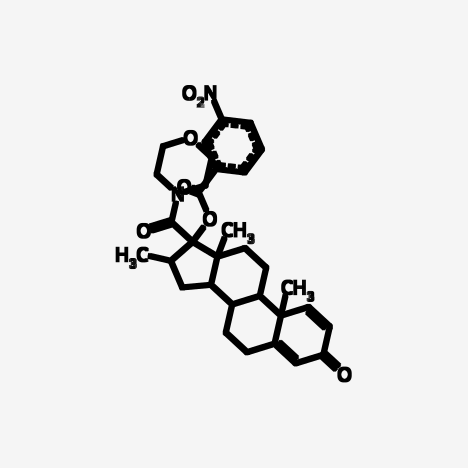 CC1CC2C3CCC4=CC(=O)C=CC4(C)C3CCC2(C)C1(OC(=O)c1cccc([N+](=O)[O-])c1)C(=O)N1CCOCC1